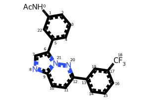 CC(=O)Nc1cccc(-c2cnc3ccc(-c4cccc(C(F)(F)F)c4)nn23)c1